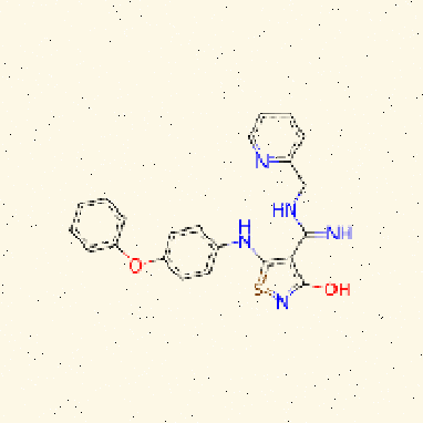 N=C(NCc1ccccn1)c1c(O)nsc1Nc1ccc(Oc2ccccc2)cc1